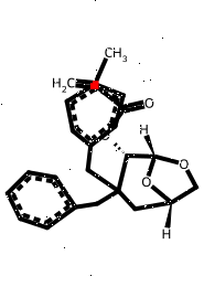 C=C(C)C(=O)O[C@@H]1[C@@H]2OC[C@H](CC1(Cc1ccccc1)Cc1ccccc1)O2